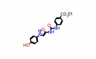 CCOC(=O)c1ccc(NC(=O)Nc2c[n+](-c3ccc(O)cc3)no2)cc1